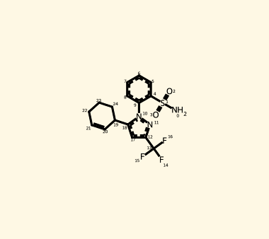 NS(=O)(=O)c1ccccc1-n1nc(C(F)(F)F)cc1C1C=CCCC1